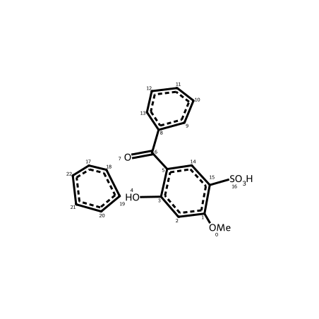 COc1cc(O)c(C(=O)c2ccccc2)cc1S(=O)(=O)O.c1ccccc1